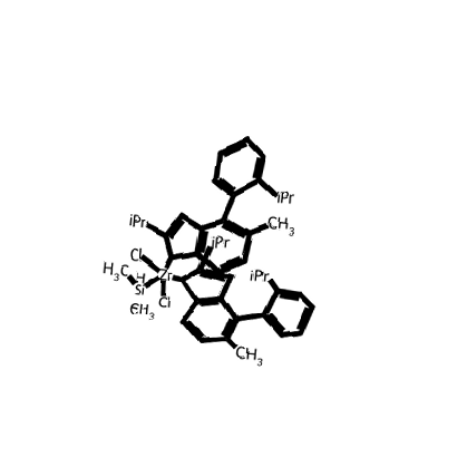 Cc1ccc2c(c1-c1ccccc1C(C)C)C=C(C(C)C)[CH]2[Zr]([Cl])([Cl])([CH]1C(C(C)C)=Cc2c1ccc(C)c2-c1ccccc1C(C)C)[SiH](C)C